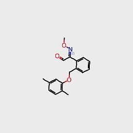 CO/N=C(\C=O)c1ccccc1COc1cc(C)ccc1C